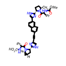 COC(=O)NC(C(=O)N1[C@@H](C)CC[C@H]1c1nc(-c2ccc3cc(C#Cc4c[nH]c([C@@H]5C[C@H]6C[C@H]6N5C(=O)C(NC(=O)O)C(C)C)n4)ccc3c2)c[nH]1)C(C)C